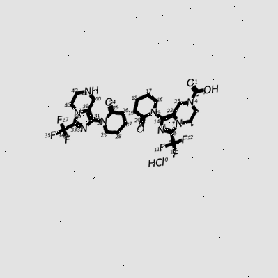 Cl.O=C(O)N1CCn2c(C(F)(F)F)nc(N3CCCCC3=O)c2C1.O=C1CCCCN1c1nc(C(F)(F)F)n2c1CNCC2